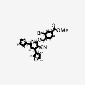 COC(=O)c1ccc(COc2nc(-c3cccs3)cc(-c3ccoc3)c2C#N)c(Br)c1